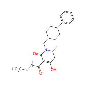 CC1CC(O)=C(C(=O)NCC(=O)O)C(=O)N1CC1CCC(c2ccccc2)CC1